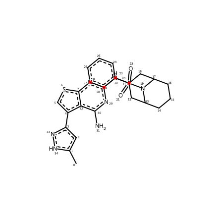 Cc1cc(-c2csc3nc(NC4CC5CCCC(C4)N5S(=O)(=O)c4cccnc4)nc(N)c23)n[nH]1